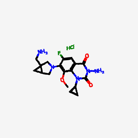 COc1c(N2CC3CC3(CN)C2)c(F)cc2c(=O)n(N)c(=O)n(C3CC3)c12.Cl